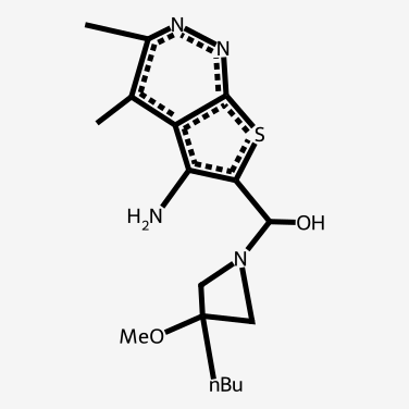 CCCCC1(OC)CN(C(O)c2sc3nnc(C)c(C)c3c2N)C1